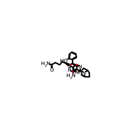 NC(=O)CCCC#Cc1cnc(N2C3CCC2CN(c2cc(-c4ccccc4O)nnc2N)C3)nc1